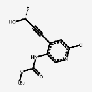 C[C@@H](O)C#Cc1cc(Cl)ncc1NC(=O)OC(C)(C)C